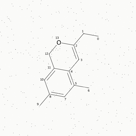 CCC1=Cc2c(C)cc(C)cc2CO1